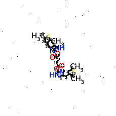 Cc1cc(Cc2c[nH]c(OC(=O)/C=C/C(=O)Oc3nc(Cc4cc(C)sc4C)c[nH]3)n2)c(C)s1